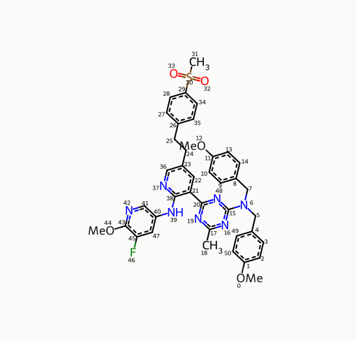 COc1ccc(CN(Cc2ccc(OC)cc2)c2nc(C)nc(-c3cc(CCc4ccc(S(C)(=O)=O)cc4)cnc3Nc3cnc(OC)c(F)c3)n2)cc1